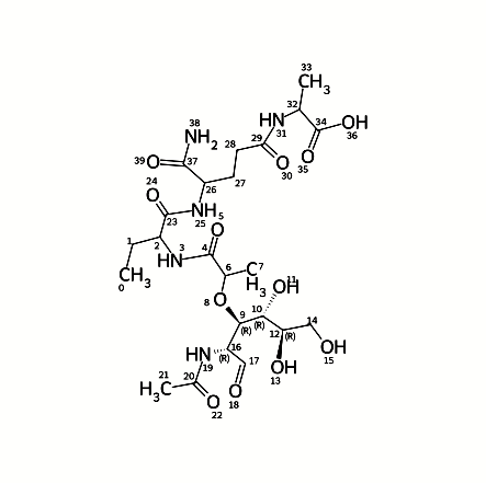 CCC(NC(=O)C(C)O[C@@H]([C@H](O)[C@H](O)CO)[C@H](C=O)NC(C)=O)C(=O)NC(CCC(=O)NC(C)C(=O)O)C(N)=O